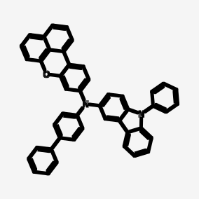 c1ccc(-c2ccc(N(c3ccc4c(c3)Oc3cccc5cccc-4c35)c3ccc4c(c3)c3ccccc3n4-c3ccccc3)cc2)cc1